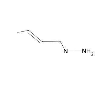 C/C=C/C[N]N